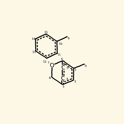 Cc1cc2ccc1OC2.Cc1ccccc1